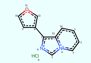 Cl.c1ccn2cnc(-c3ccoc3)c2c1